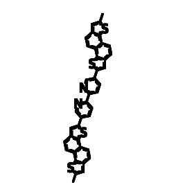 Cc1cc2ccc3c(ccc4cc(-c5ccc(-c6ccc(-c7cc8ccc9c(ccc%10cc(C)sc%109)c8s7)cn6)nc5)sc43)c2s1